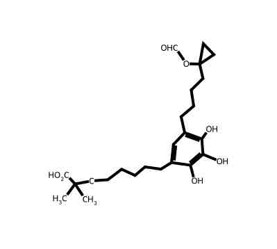 CC(C)(CCCCCCc1cc(CCCCC2(OC=O)CC2)c(O)c(O)c1O)C(=O)O